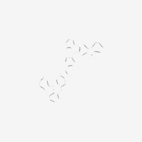 CC1(C)c2ccccc2-c2cc3c4ccccc4n(-c4ccc(-c5nc6cc7c(cc6o5)N(c5ccccc5)c5ccccc5O7)cc4)c3cc21